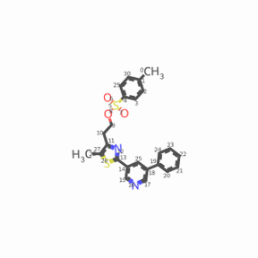 Cc1ccc(S(=O)(=O)OCCc2nc(-c3cncc(-c4ccccc4)c3)sc2C)cc1